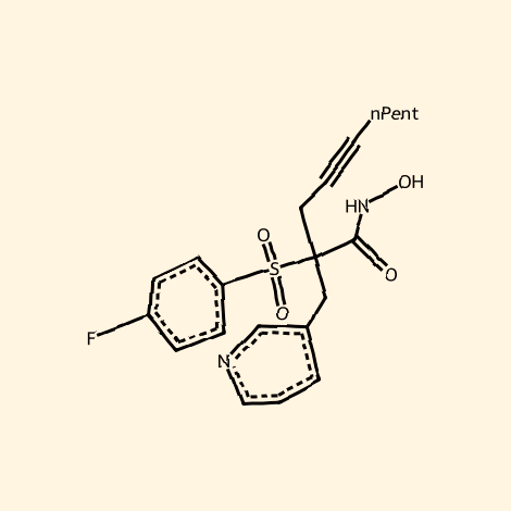 CCCCCC#CCC(Cc1cccnc1)(C(=O)NO)S(=O)(=O)c1ccc(F)cc1